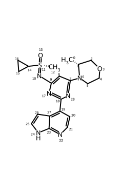 C[C@@H]1COCCN1c1cc(N=[S@](C)(=O)C2CC2)nc(-c2ccnc3[nH]ccc23)n1